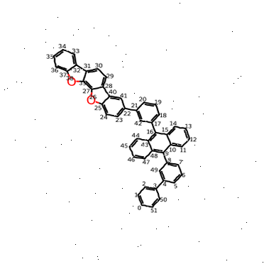 c1ccc(-c2cccc(-c3c4ccccc4c(-c4cccc(-c5ccc6oc7c(ccc8c9ccccc9oc87)c6c5)c4)c4ccccc34)c2)cc1